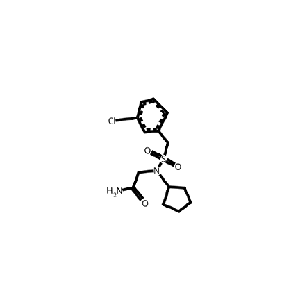 NC(=O)CN(C1CCCC1)S(=O)(=O)Cc1cccc(Cl)c1